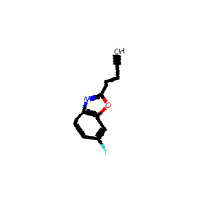 C#CCCc1nc2ccc(F)cc2o1